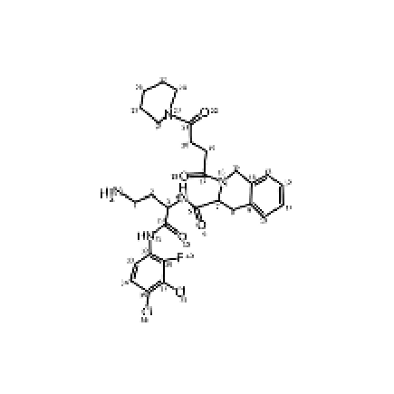 NCCC(NC(=O)C1Cc2ccccc2CN1C(=O)CCC(=O)N1CCCCC1)C(=O)Nc1ccc(Cl)c(Cl)c1F